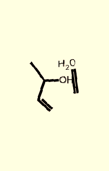 C=C.C=CC(C)O.O